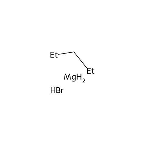 Br.CCCCC.[MgH2]